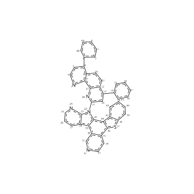 c1ccc(-c2ccnc3c2ccc2c(-c4ccccc4)cc(-n4c5ncccc5c5c6cnccc6c6sc7ccccc7c6c54)nc23)cc1